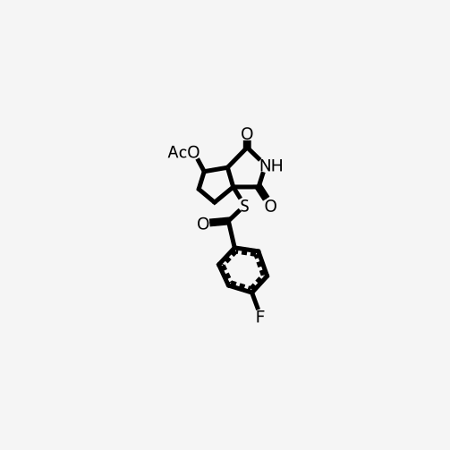 CC(=O)OC1CCC2(SC(=O)c3ccc(F)cc3)C(=O)NC(=O)C12